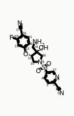 N#Cc1ccc(S(=O)(=O)N2C[C@H](Oc3ccc(C#N)c(F)c3)[C@](O)(CN)C2)cn1